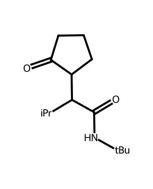 CC(C)C(C(=O)NC(C)(C)C)C1CCCC1=O